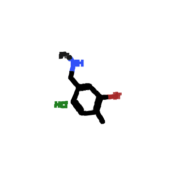 Cc1ccc(CNC(C)C)cc1Br.Cl